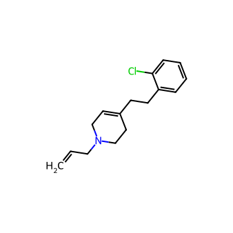 C=CCN1CC=C(CCc2ccccc2Cl)CC1